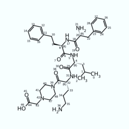 CC(C)C[C@@H](NC(=O)[C@@H](CCc1ccccc1)NC(=O)[C@H](N)Cc1ccccc1)C(=O)N[C@H](CCCN)C(=O)N1CCN(CC(=O)O)CC1